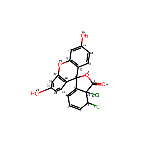 O=C1OC2(C3=CC=CC(Cl)C13Cl)c1ccc(O)cc1Oc1cc(O)ccc12